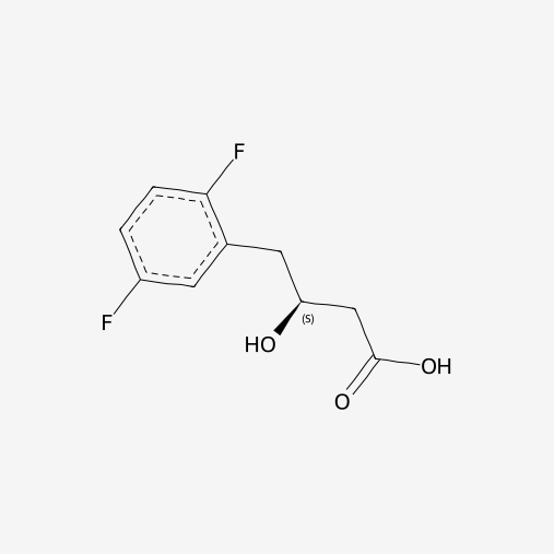 O=C(O)C[C@@H](O)Cc1cc(F)ccc1F